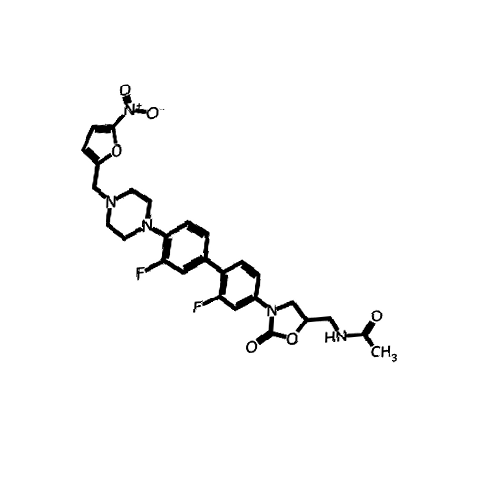 CC(=O)NCC1CN(c2ccc(-c3ccc(N4CCN(Cc5ccc([N+](=O)[O-])o5)CC4)c(F)c3)c(F)c2)C(=O)O1